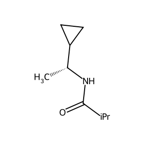 CC(C)C(=O)N[C@H](C)C1CC1